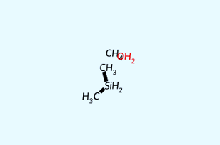 C.C[SiH2]C.O